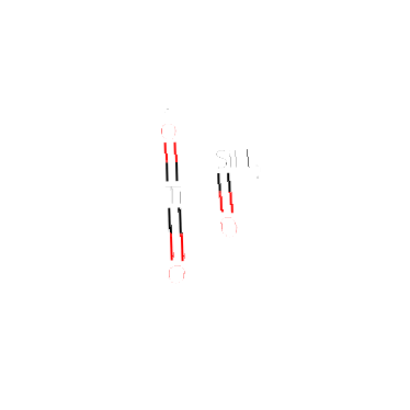 O=[SiH2].[O]=[Ti]=[O]